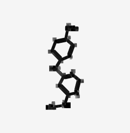 CCCCNc1cc(Nc2ccc(OC)cc2)ncn1